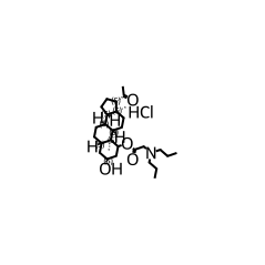 CCCN(CCC)CC(=O)OC1C[C@@H](O)C[C@@H]2CC[C@H]3[C@@H]4CC[C@H](C(C)=O)[C@@]4(C)CC[C@@H]3[C@@]12C.Cl